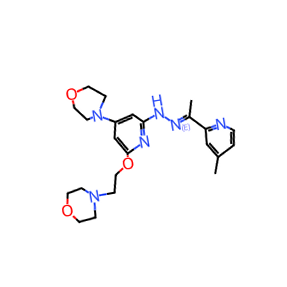 C/C(=N\Nc1cc(N2CCOCC2)cc(OCCN2CCOCC2)n1)c1cc(C)ccn1